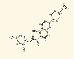 Cc1ccc(CNC(=O)c2ncc3nc(N4CCN(C5CC5)CC4)ccc3c2O)c(Cl)c1